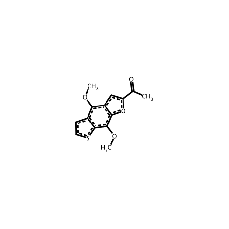 COc1c2cc(C(C)=O)oc2c(OC)c2sccc12